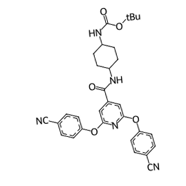 CC(C)(C)OC(=O)NC1CCC(NC(=O)c2cc(Oc3ccc(C#N)cc3)nc(Oc3ccc(C#N)cc3)c2)CC1